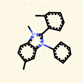 Cc1ccc2c(c1)n(-c1ccccc1)c(-c1ccccc1C)[n+]2C